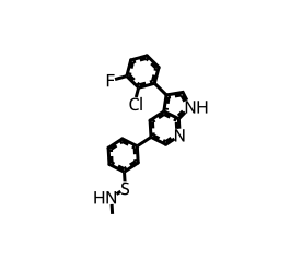 CNSc1cccc(-c2cnc3[nH]cc(-c4cccc(F)c4Cl)c3c2)c1